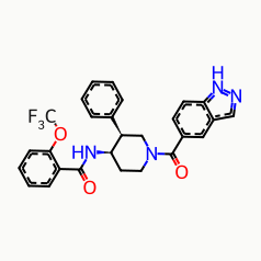 O=C(N[C@@H]1CCN(C(=O)c2ccc3[nH]ncc3c2)C[C@@H]1c1ccccc1)c1ccccc1OC(F)(F)F